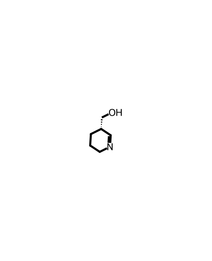 OC[C@@H]1C=NCCC1